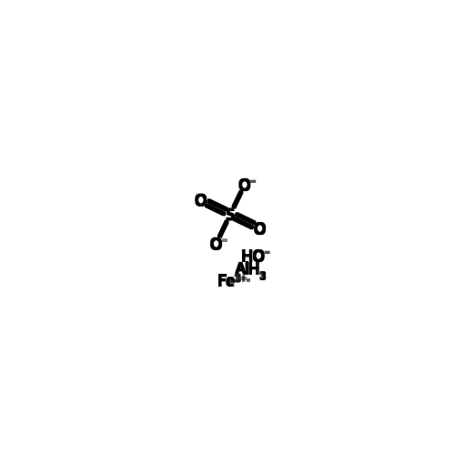 O=S(=O)([O-])[O-].[AlH3].[Fe+3].[OH-]